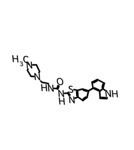 CN1CCN(CCNC(=O)Nc2nc3ccc(-c4cccc5[nH]ccc45)cc3s2)CC1